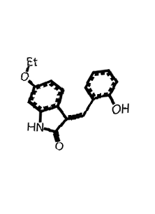 CCOc1ccc2c(c1)NC(=O)/C2=C/c1ccccc1O